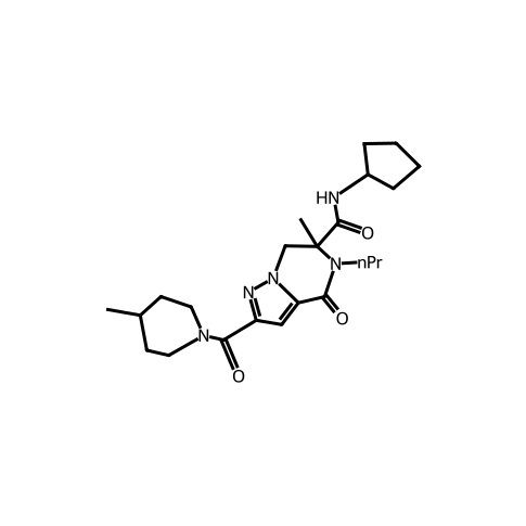 CCCN1C(=O)c2cc(C(=O)N3CCC(C)CC3)nn2CC1(C)C(=O)NC1CCCC1